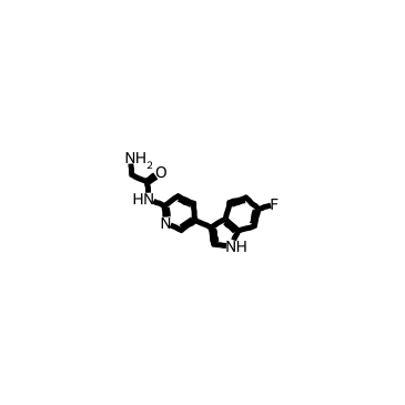 NCC(=O)Nc1ccc(-c2c[nH]c3cc(F)ccc23)cn1